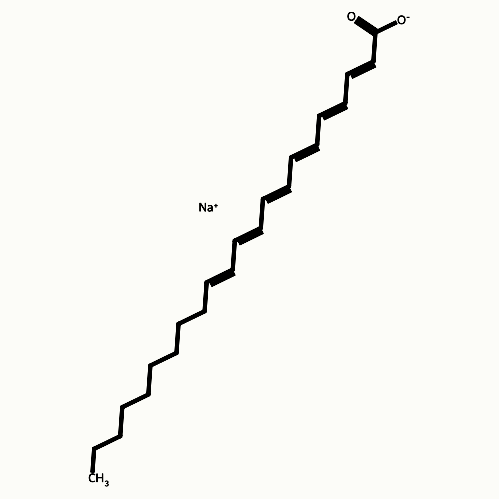 CCCCCCCCC/C=C/C=C/C=C/C=C/C=C/C=C/C(=O)[O-].[Na+]